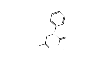 NC(=O)CN(C(N)=O)c1ccccc1